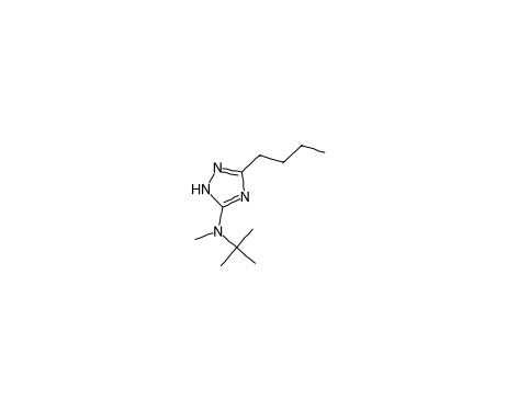 CCCCc1n[nH]c(N(C)C(C)(C)C)n1